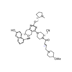 C#Cc1cccc2cc(O)cc([C@@H]3Cc4nc(OC[C@@H]5CCCN5C)nc(N5CCN(C(=O)/C=C/CN6CCC(OC)CC6)[C@@H](CC#N)C5)c4CO3)c12